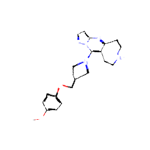 COc1ccc(OCC2CN(c3c4c(nc5ccnn35)CCNCC4)C2)cc1